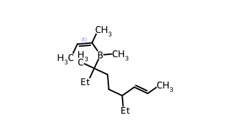 CC=CC(CC)CCC(C)(CC)B(C)/C(C)=C\C